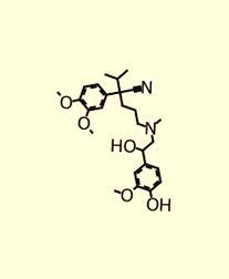 COc1cc(C(O)CN(C)CCCC(C#N)(c2ccc(OC)c(OC)c2)C(C)C)ccc1O